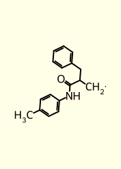 [CH2]C(Cc1ccccc1)C(=O)Nc1ccc(C)cc1